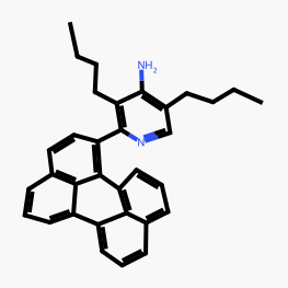 CCCCc1cnc(-c2ccc3cccc4c5cccc6cccc(c2c34)c65)c(CCCC)c1N